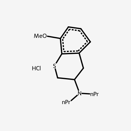 CCCN(CCC)C1CSc2c(cccc2OC)C1.Cl